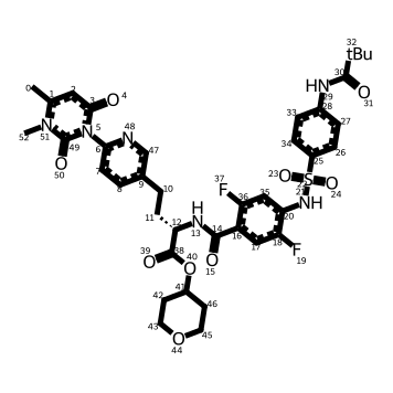 Cc1cc(=O)n(-c2ccc(CC[C@H](NC(=O)c3cc(F)c(NS(=O)(=O)c4ccc(NC(=O)C(C)(C)C)cc4)cc3F)C(=O)OC3CCOCC3)cn2)c(=O)n1C